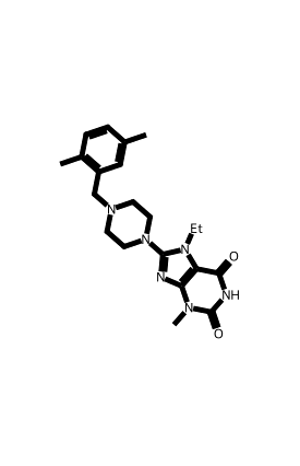 CCn1c(N2CCN(Cc3cc(C)ccc3C)CC2)nc2c1c(=O)[nH]c(=O)n2C